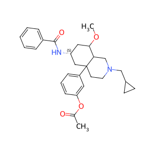 COC1C[C@@H](NC(=O)c2ccccc2)CC2(c3cccc(OC(C)=O)c3)CCN(CC3CC3)CC12